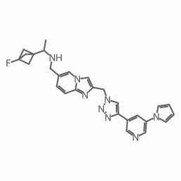 CC(NCc1ccc2nc(Cn3cc(-c4cncc(-n5cccc5)c4)nn3)cn2c1)C12CC(F)(C1)C2